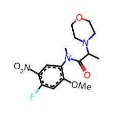 COc1cc(F)c([N+](=O)[O-])cc1N(C)C(=O)C(C)N1CCOCC1